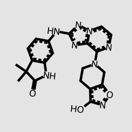 CC1(C)C(=O)Nc2cc(Nc3nc4c(N5CCc6c(O)noc6C5)nccn4n3)ccc21